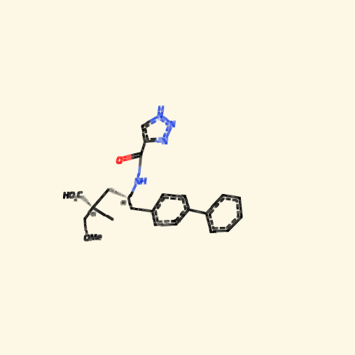 COC[C@](C)(C[C@@H](Cc1ccc(-c2ccccc2)cc1)NC(=O)c1c[nH]nn1)C(=O)O